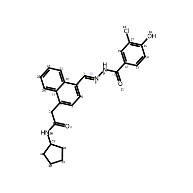 O=C(Cc1ccc(/C=N/NC(=O)c2ccc(O)c(Cl)c2)c2ccccc12)NC1CCCC1